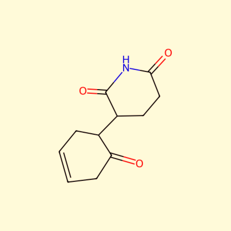 O=C1CCC(C2CC=CCC2=O)C(=O)N1